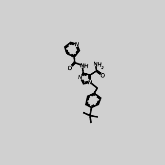 CC(C)(C)c1ccc(Cn2cnc(NC(=O)c3cccnc3)c2C(N)=O)cc1